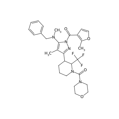 Cc1occc1C(=O)n1nc(C2CCCN(C(=O)N3CCOCC3)C2C(F)(F)F)c(C)c1N(C)Cc1ccccc1